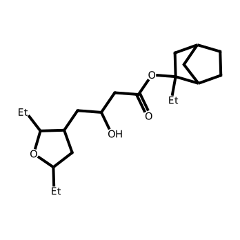 CCC1CC(CC(O)CC(=O)OC2(CC)CC3CCC2C3)C(CC)O1